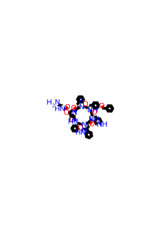 NCCNC(=O)O[C@@H]1C[C@H]2C(=O)N[C@@H](c3ccccc3)C(=O)N[C@H](Cc3c[nH]c4ccccc34)C(=O)N[C@@H](CC3CCNCC3)C(=O)N[C@@H](Cc3ccc(OCc4ccccc4)cc3)C(=O)N[C@@H](Cc3ccccc3)C(=O)N2C1